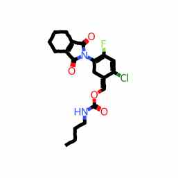 CCCCNC(=O)OC=C1CC(N2C(=O)C3=C(CCCC3)C2=O)=C(F)C=C1Cl